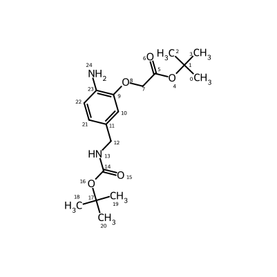 CC(C)(C)OC(=O)COc1cc(CNC(=O)OC(C)(C)C)ccc1N